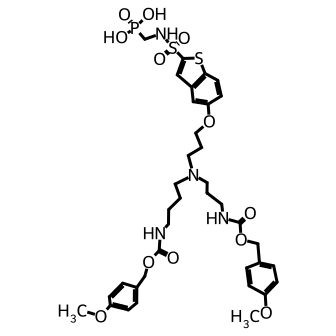 COc1ccc(COC(=O)NCCCCN(CCCNC(=O)OCc2ccc(OC)cc2)CCCOc2ccc3sc(S(=O)(=O)NCP(=O)(O)O)cc3c2)cc1